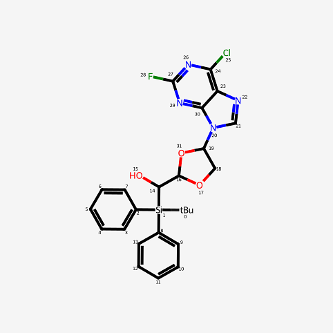 CC(C)(C)[Si](c1ccccc1)(c1ccccc1)C(O)C1OCC(n2cnc3c(Cl)nc(F)nc32)O1